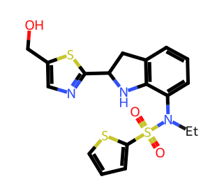 CCN(c1cccc2c1NC(c1ncc(CO)s1)C2)S(=O)(=O)c1cccs1